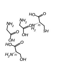 NCC(=O)O.NCC(=O)O.N[C@@H](CO)C(=O)O.N[C@@H](CS)C(=O)O